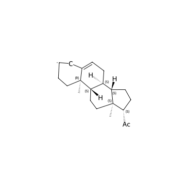 CC(=O)[C@H]1CC[C@H]2[C@@H]3CC=C4C[CH]CC[C@]4(C)[C@H]3CC[C@]12C